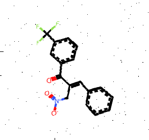 O=C(/C(=C/c1ccccc1)C[N+](=O)[O-])c1cccc(C(F)(F)F)c1